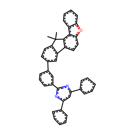 CC1(C)c2ccc(-c3cccc(-c4nc(-c5ccccc5)cc(-c5ccccc5)n4)c3)cc2-c2ccc3oc4ccccc4c3c21